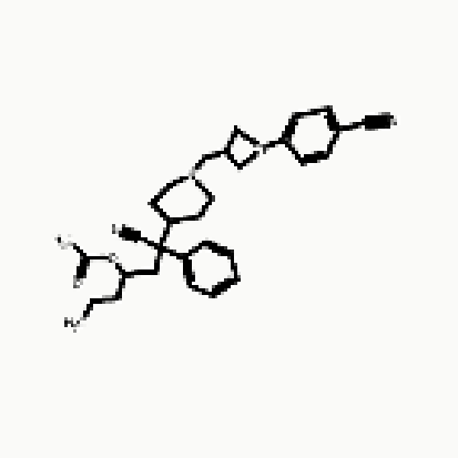 CCCC(CC(C#N)(c1ccccc1)C1CCN(CC2CN(c3ccc(C#N)cc3)C2)CC1)OC(C)=O